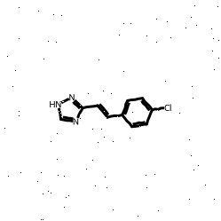 Clc1ccc(C=Cc2nc[nH]n2)cc1